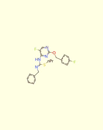 CCCS/C(=N\Cc1ccccc1)Nc1nc(OCc2ccc(F)cc2)ncc1F